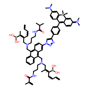 C=C/C=C\C(CN(CCCNC(=O)C(C)C)Cc1c2ccccc2c(CN(CCCNC(=O)C(=C)C)C/C(C)=C(/C=C\C=C)B(O)O)c2cc(-n3cc(-c4ccc(C5=C6C=CC(=[N+](C)C)C=C6[Si](C)(C)c6cc(N(C)C)ccc65)cc4)nn3)ccc12)=C(/C)B(O)O